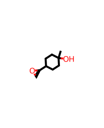 CC1(O)CCC(C2=CO2)CC1